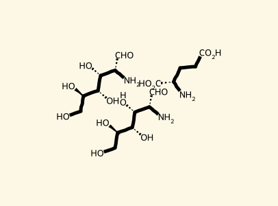 N[C@@H](C=O)[C@@H](O)[C@H](O)[C@H](O)CO.N[C@@H](C=O)[C@@H](O)[C@H](O)[C@H](O)CO.N[C@@H](CCC(=O)O)C(=O)O